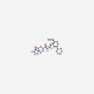 COc1ncc(C2CCOCC2)c2sc(NC(=O)N3CCC4(CCNC4=O)CC3)nc12